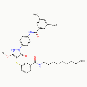 CCCCCCCCCCCCCCCCCCNC(=O)c1cccc(Sc2c(OCC)[nH]n(-c3ccc(NC(=O)c4cc(OC)cc(OC)c4)cc3)c2=O)c1